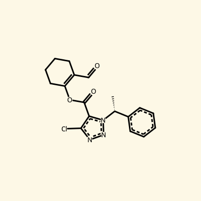 C[C@H](c1ccccc1)n1nnc(Cl)c1C(=O)OC1=C(C=O)CCCC1